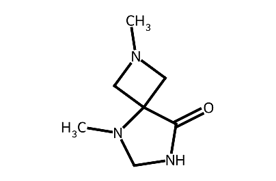 CN1CC2(C1)C(=O)NCN2C